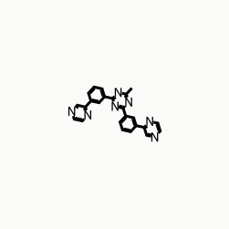 Cc1nc(-c2cccc(-c3cnccn3)c2)nc(-c2cccc(-c3cnccn3)c2)n1